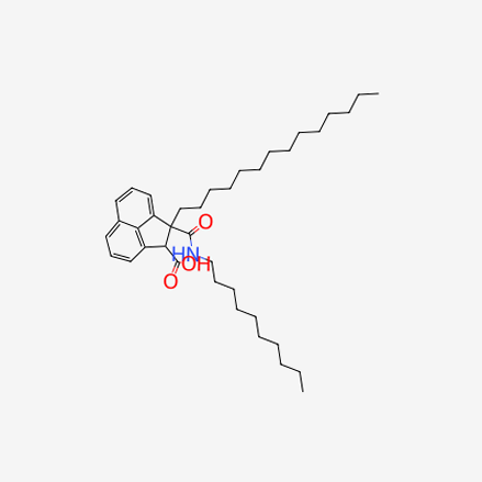 CCCCCCCCCCCCCCC1(C(=O)NCCCCCCCCCC)c2cccc3cccc(c23)C1C(=O)O